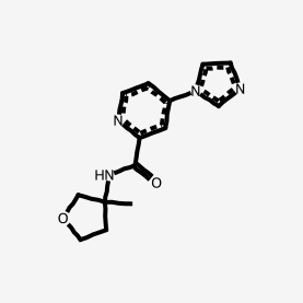 CC1(NC(=O)c2cc(-n3ccnc3)ccn2)CCOC1